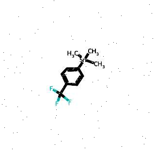 [CH3][Sn]([CH3])([CH3])[c]1ccc(C(F)(F)F)cc1